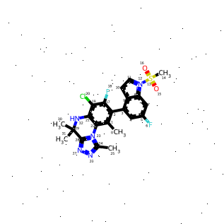 Cc1c(-c2cc(F)cc3c2ccn3S(C)(=O)=O)c(F)c(Cl)c2c1-n1c(C)nnc1C(C)(C)N2